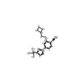 N#Cc1ccc(-n2ccc(C(F)(F)F)n2)cc1SCC1CCC1